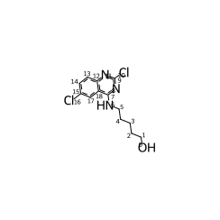 OCCCCCNc1nc(Cl)nc2ccc(Cl)cc12